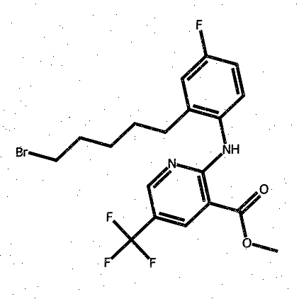 COC(=O)c1cc(C(F)(F)F)cnc1Nc1ccc(F)cc1CCCCCBr